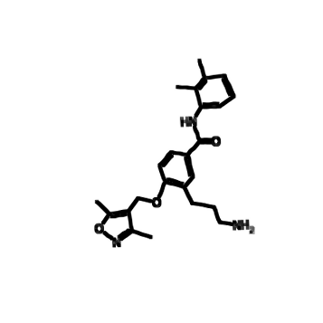 Cc1cccc(NC(=O)c2ccc(OCc3c(C)noc3C)c(CCCN)c2)c1C